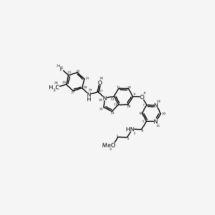 COCCNCc1cc(Oc2ccc3c(ccn3C(=O)Nc3ccc(F)c(C)c3)c2)ncn1